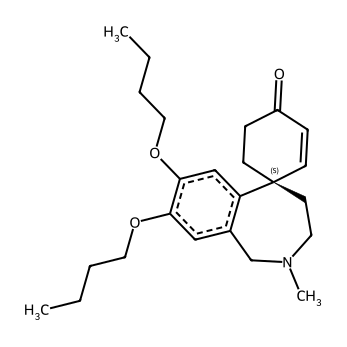 CCCCOc1cc2c(cc1OCCCC)[C@]1(C=CC(=O)CC1)CCN(C)C2